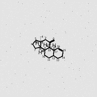 C=C1C[C@]2(C)CCC[C@H]2[C@@H]2CCC3CCC=C[C@@H]3[C@@H]12